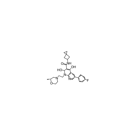 C[C@H]1CN(CCN2c3ncc(-c4ccc(F)cc4)cc3C(O)=C(C(=O)NC3CC4(CC4)C3)C2O)CCO1